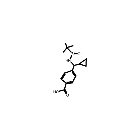 CC(C)(C)[S+]([O-])NC(c1ccc(C(=O)O)cc1)C1CC1